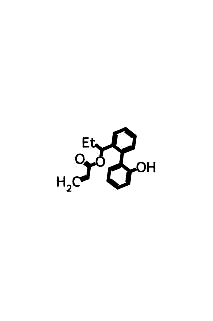 C=CC(=O)OC(CC)c1ccccc1-c1ccccc1O